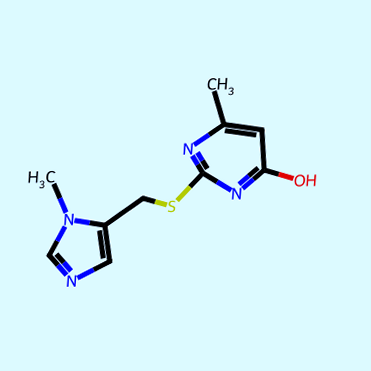 Cc1cc(O)nc(SCc2cncn2C)n1